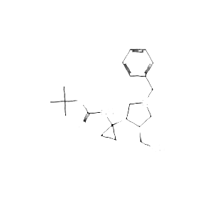 CC(C)(C)OC(=O)NC1([C@H]2CN(Cc3ccccc3)C[C@H]2CO)CC1